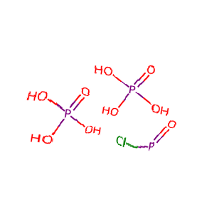 O=P(O)(O)O.O=P(O)(O)O.O=PCl